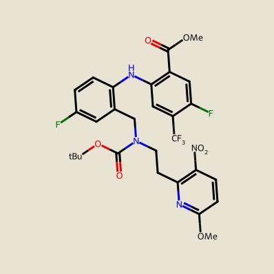 COC(=O)c1cc(F)c(C(F)(F)F)cc1Nc1ccc(F)cc1CN(CCc1nc(OC)ccc1[N+](=O)[O-])C(=O)OC(C)(C)C